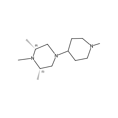 C[C@@H]1CN(C2CCN(C)CC2)C[C@H](C)N1C